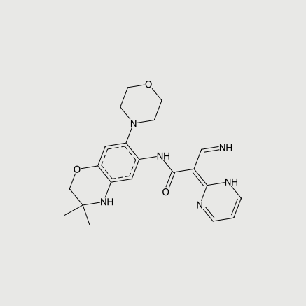 CC1(C)COc2cc(N3CCOCC3)c(NC(=O)/C(C=N)=C3\N=CC=CN3)cc2N1